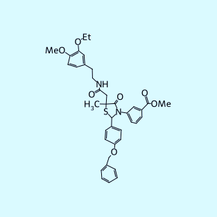 CCOc1cc(CCNC(=O)CC2(C)SC(c3ccc(OCc4ccccc4)cc3)N(c3cccc(C(=O)OC)c3)C2=O)ccc1OC